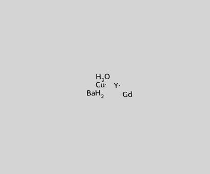 O.[BaH2].[Cu].[Gd].[Y]